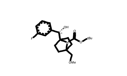 COCC12CCC([C@@H](O)c3cccc(F)c3)(CC1)N2C(=O)OC(C)(C)C